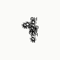 C[C@H]1[C@@H]2N(C(=O)NCc3ccncc3)OCC(=O)N2[C@@H](Cc2ccc(O)cc2)C(=O)N1Cc1cccc2cccnc12